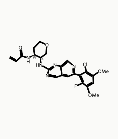 C=CC(=O)N[C@H]1CCOC[C@H]1Nc1ncc2cc(-c3c(F)c(OC)cc(OC)c3Cl)ncc2n1